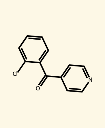 O=C(c1ccncc1)c1ccccc1Cl